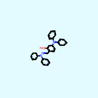 Oc1cc(N(c2ccccc2)c2ccccc2)ccc1C=NN(c1ccccc1)c1ccccc1